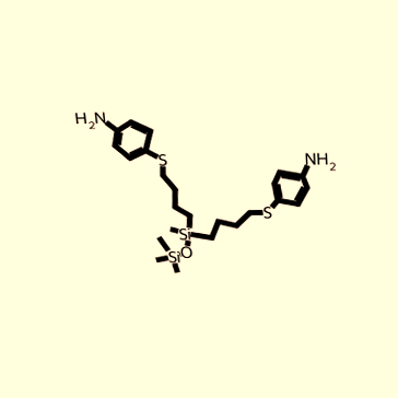 C[Si](C)(C)O[Si](C)(CCCCSc1ccc(N)cc1)CCCCSc1ccc(N)cc1